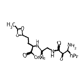 CCCC(N)C(=O)C(=O)NCC(=O)NC(CCC1OC(C)O1)C(=O)OC